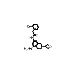 NSc1cc(NC(=O)Cc2ccccc2Cl)cc2c1CCN(C1COC1)C2